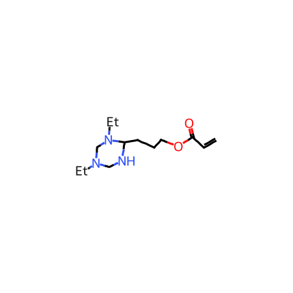 C=CC(=O)OCCCC1NCN(CC)CN1CC